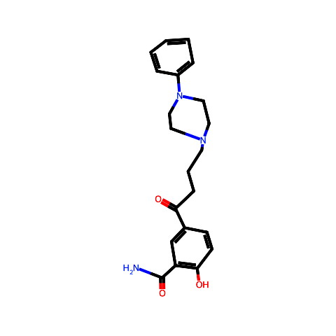 NC(=O)c1cc(C(=O)CCCN2CCN(c3ccccc3)CC2)ccc1O